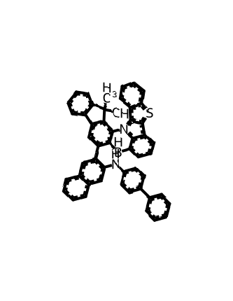 CC1(C)c2ccccc2-c2cc(-c3cc4ccccc4cc3Nc3ccc(-c4ccccc4)cc3)c3c(c21)-n1c2c(cccc2c2sc4ccccc4c21)B3